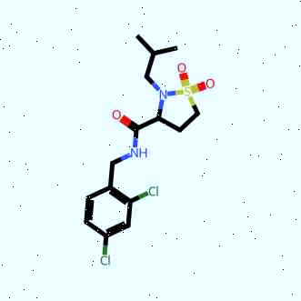 CC(C)CN1C(C(=O)NCc2ccc(Cl)cc2Cl)CCS1(=O)=O